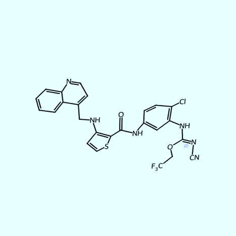 N#C/N=C(/Nc1cc(NC(=O)c2sccc2NCc2ccnc3ccccc23)ccc1Cl)OCC(F)(F)F